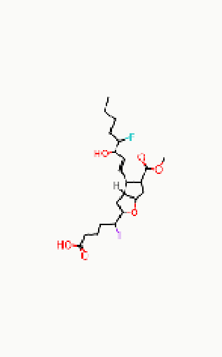 CCCCC(F)C(O)/C=C/[C@H]1C(C(=O)OC)CC2OC(C(I)CCCC(=O)O)C[C@@H]21